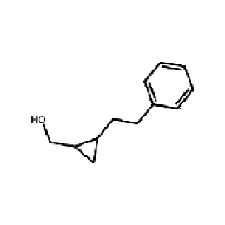 OCC1CC1CCc1[c]cccc1